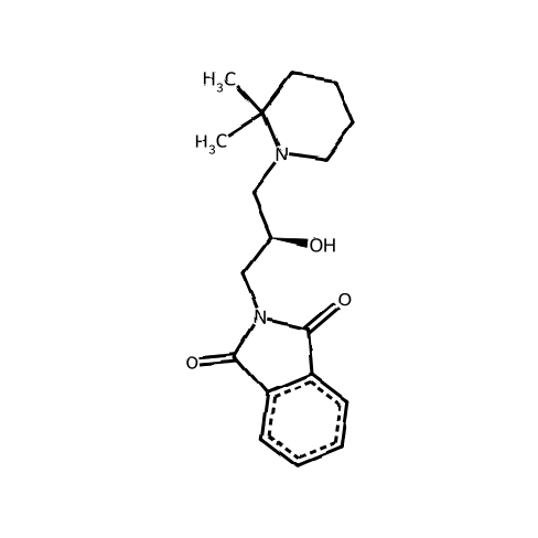 CC1(C)CCCCN1C[C@@H](O)CN1C(=O)c2ccccc2C1=O